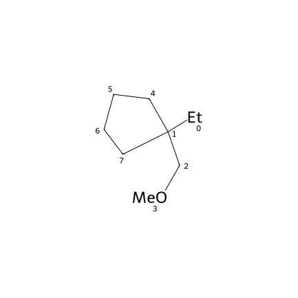 CCC1(COC)CCCC1